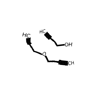 C#CCO.C#CCOCC#C